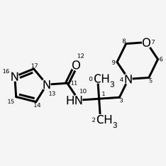 CC(C)(CN1CCOCC1)NC(=O)n1ccnc1